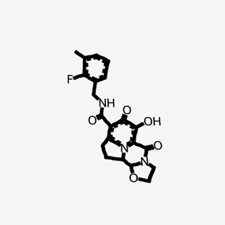 Cc1cccc(CNC(=O)c2c3n4c(c(O)c2=O)C(=O)N2CCOC2C4CC3)c1F